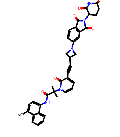 CC(C)(C(=O)Nc1ccc(C#N)c2ccccc12)n1cccc(C#CC2CN(c3ccc4c(c3)C(=O)N(C3CCC(=O)NC3=O)C4=O)C2)c1=O